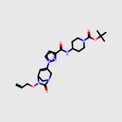 C=CCON1C(=O)N2CC(n3ccc(C(=O)NC4CCN(C(=O)OC(C)(C)C)CC4)n3)=CC1C2